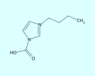 CCCC[n+]1ccn(C(=O)O)c1